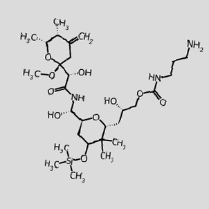 C=C1C[C@](OC)([C@H](O)C(=O)N[C@@H](O)[C@@H]2CC(O[Si](C)(C)C)C(C)(C)[C@@H](C[C@H](O)COC(=O)NCCCN)O2)O[C@H](C)[C@@H]1C